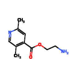 Cc1cc(C(=O)OCCN)c(C)cn1